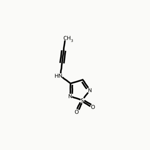 CC#CNC1=NS(=O)(=O)N=C1